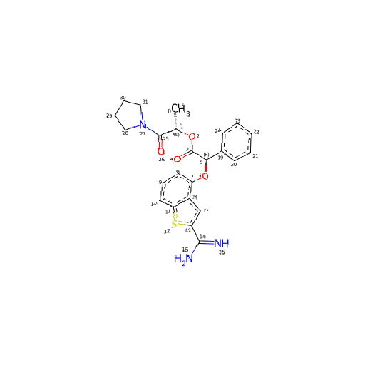 C[C@H](OC(=O)[C@H](Oc1cccc2sc(C(=N)N)cc12)c1ccccc1)C(=O)N1CCCC1